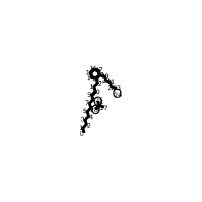 CCCCCCCCC(C=CCCc1ccccc1CCCCC=O)OC(C)=O